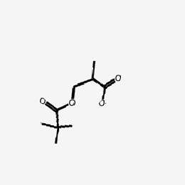 CC(COC(=O)C(C)(C)C)C([O])=O